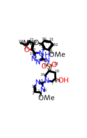 COc1ccnc(N2C[C@@H](O)C[C@@H](S(=O)(=O)Nc3nnc(-c4ccc(C)o4)n3-c3c(OC)cccc3OC)C2)n1